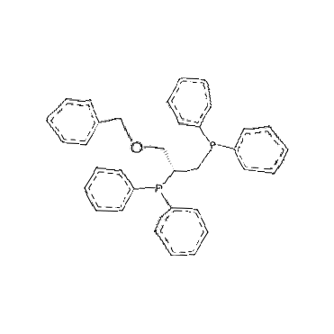 c1ccc(COC[C@H](CP(c2ccccc2)c2ccccc2)P(c2ccccc2)c2ccccc2)cc1